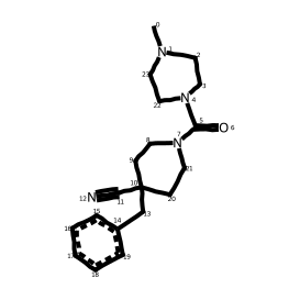 CN1CCN(C(=O)N2CCC(C#N)(Cc3ccccc3)CC2)CC1